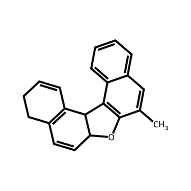 Cc1cc2ccccc2c2c1OC1C=CC3=C(C=CCC3)C21